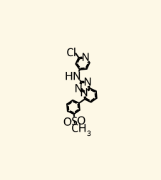 CS(=O)(=O)c1cccc(-c2cccc3nc(Nc4ccnc(Cl)c4)nn23)c1